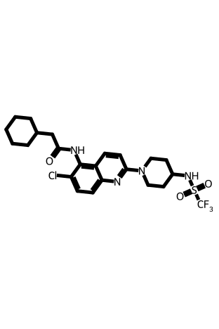 O=C(CC1CCCCC1)Nc1c(Cl)ccc2nc(N3CCC(NS(=O)(=O)C(F)(F)F)CC3)ccc12